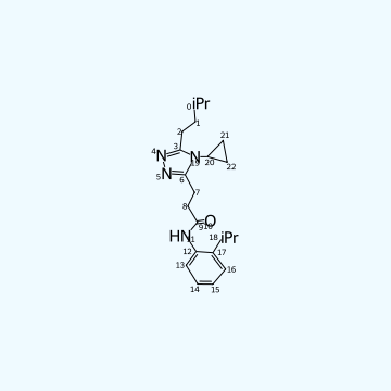 CC(C)CCc1nnc(CCC(=O)Nc2ccccc2C(C)C)n1C1CC1